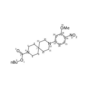 CCCCOC(=O)N1CCC2(CC1)CCN(c1ccc([N+](=O)[O-])c(OC)c1)CC2